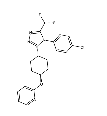 FC(F)c1nnc([C@H]2CC[C@H](Oc3ccccn3)CC2)n1-c1ccc(Cl)cc1